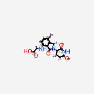 O=C(O)CNc1ccc(I)c2c1C(=O)N(C1CCC(=O)NC1=O)C2